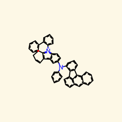 C1=Cc2c(n(-c3ccccc3-c3ccccc3)c3ccc(N(c4ccccc4)c4cccc5c4-c4cccc6cc7ccccc7c-5c46)cc23)CC1